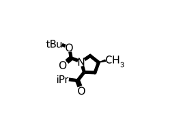 CC(C)C(=O)C1C[C@H](C)CN1C(=O)OC(C)(C)C